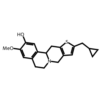 COc1cc2c(cc1O)C1Cc3sc(CC4CC4)cc3CN1CC2